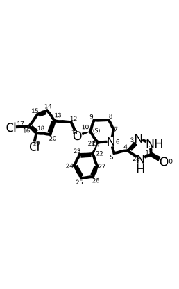 O=c1[nH]nc(CN2CCC[C@H](OCc3ccc(Cl)c(Cl)c3)[C@@H]2c2ccccc2)[nH]1